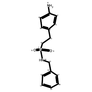 Nc1ccc(CCS(=O)(=O)NCc2ccccc2)cc1